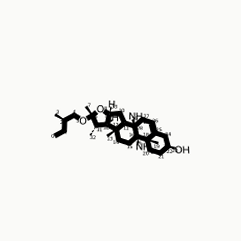 CC[C@@H](C)CO[C@]1(C)O[C@H]2CC3[C@](C)(CC[C@]4(N)[C@@]5(C)CC[C@H](O)CC5=CC[C@@]34N)[C@H]2[C@@H]1C